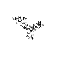 CCc1nn(CC)c(C)c1C1CCN([C@H](C)[C@H]2CN(CC3(C(=O)O)C[C@H]4C[C@H]4C3)C[C@@H]2c2cccc(F)c2)CC1